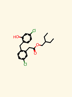 CCC(CC)COC(=O)Cc1cc(Cl)ccc1Cc1ccc(Cl)cc1O